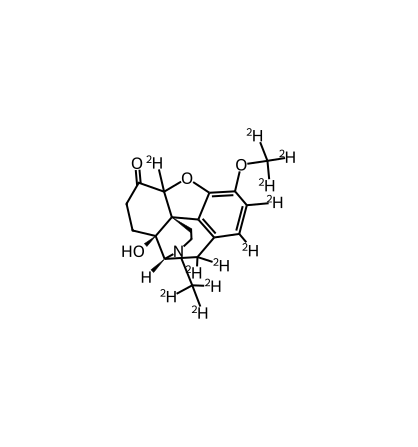 [2H]c1c([2H])c2c3c(c1OC([2H])([2H])[2H])OC1([2H])C(=O)CC[C@@]4(O)[C@H](N(C([2H])([2H])[2H])CC[C@]314)C2([2H])[2H]